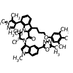 Cc1nnc(-c2ccc3c(c2)c(N2C(=O)c4c(CCCOc5cc(C)c(Cl)c(C)c5)c5cccc(-c6c(C)nn(C)c6C)c5n4C(C)[C@H]2Cl)cn3C)o1